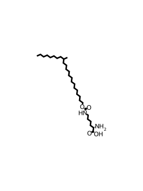 CCCCCCCCC(C)CCCCCCCCCCCCCCOC(=O)NCCCC[C@H](N)C(=O)O